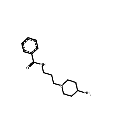 NC1CCN(CCCNC(=O)c2ccccc2)CC1